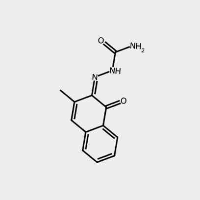 CC1=Cc2ccccc2C(=O)C1=NNC(N)=O